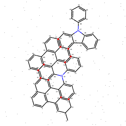 CC1C=C(c2cccc3cccc(-c4ccccc4N(c4cccc(-c5cccc6c5c5ccccc5n6-c5ccccc5)c4)c4ccccc4-c4cccc5cccc(-c6ccccc6)c45)c23)C=CC1